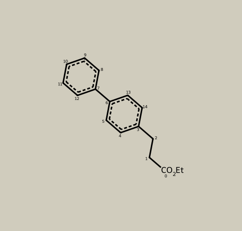 CCOC(=O)CCc1ccc(-c2c[c]ccc2)cc1